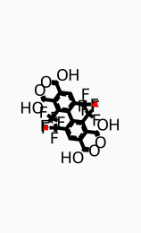 O=C(O)c1cc(C(F)(F)F)c(-c2c(C(F)(F)F)cc(C(=O)O)c(C(=O)O)c2C(F)(F)F)c(C(F)(F)F)c1C(=O)O